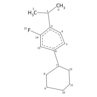 CC(C)c1ccc(C2CCCCC2)cc1F